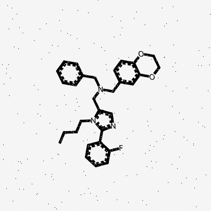 CCCCn1c(CN(Cc2ccccc2)Cc2ccc3c(c2)OCCO3)cnc1-c1ccccc1F